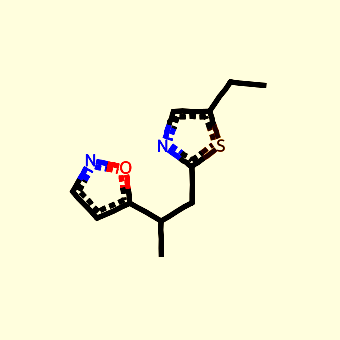 CCc1cnc(CC(C)c2ccno2)s1